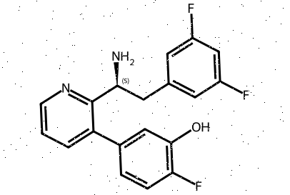 N[C@@H](Cc1cc(F)cc(F)c1)c1ncccc1-c1ccc(F)c(O)c1